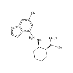 CC(C)(C)N(C(=O)O)[C@H]1CCCC[C@H]1N.N#Cc1cc(N)c2ccsc2c1